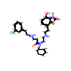 O=C(CCNCCc1cccc(Cl)c1)N(CCNCCc1ccc(O)c2[nH]c(=O)sc12)C1CCCCC1